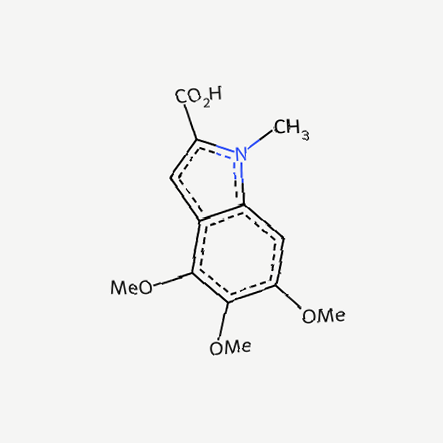 COc1cc2c(cc(C(=O)O)n2C)c(OC)c1OC